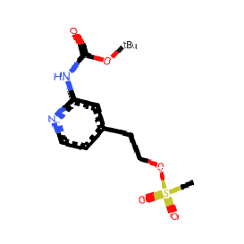 CC(C)(C)OC(=O)Nc1cc(CCOS(C)(=O)=O)ccn1